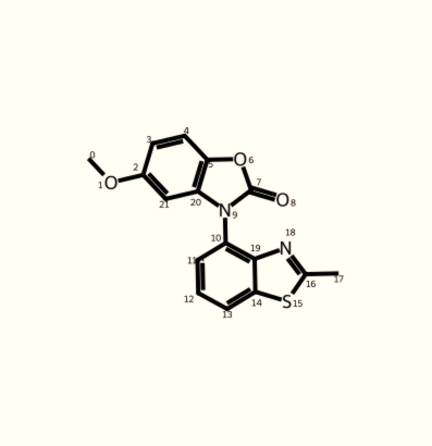 COc1ccc2oc(=O)n(-c3[c]ccc4sc(C)nc34)c2c1